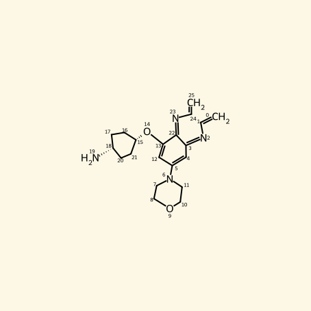 C=C/N=C1/C=C(N2CCOCC2)C=C(O[C@H]2CC[C@@H](N)CC2)/C1=N/C=C